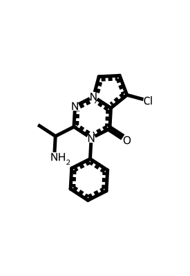 CC(N)c1nn2ccc(Cl)c2c(=O)n1-c1ccccc1